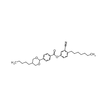 CCCCCCCc1ccc(OC(=O)c2ccc(C3OCC(CCCCC)CO3)cc2)cc1C#N